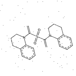 C=C(N1CCCc2ccccc21)S(=O)(=O)C(=C)N1CCCc2ccccc21